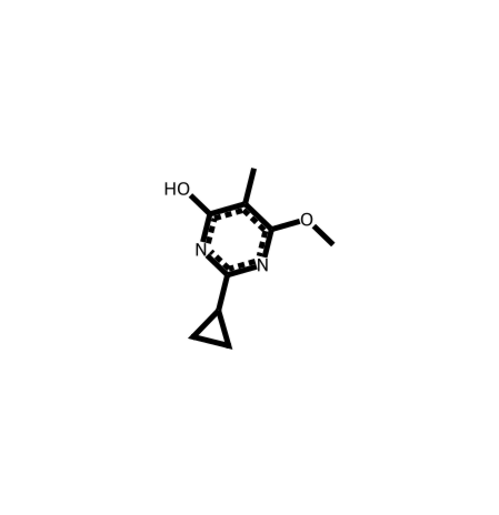 COc1nc(C2CC2)nc(O)c1C